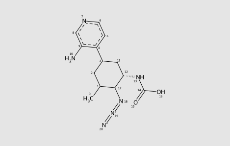 CC1CC(c2ccncc2N)C[C@H](NC(=O)O)C1N=[N+]=[N-]